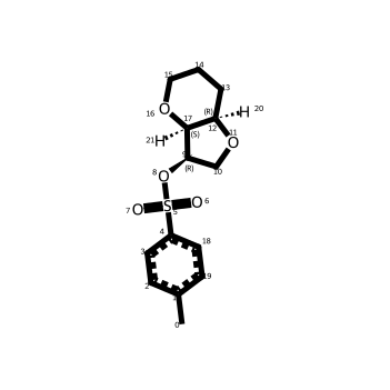 Cc1ccc(S(=O)(=O)O[C@@H]2CO[C@@H]3CCCO[C@@H]32)cc1